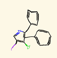 Clc1c(I)cnc(-c2ccccc2)c1-c1ccccc1